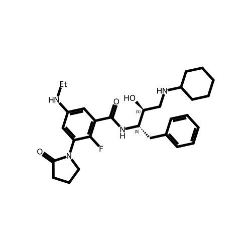 CCNc1cc(C(=O)N[C@@H](Cc2ccccc2)[C@@H](O)CNC2CCCCC2)c(F)c(N2CCCC2=O)c1